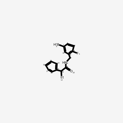 Bc1ccc(F)c(CNC(=O)C(CC)c2ccccc2)c1